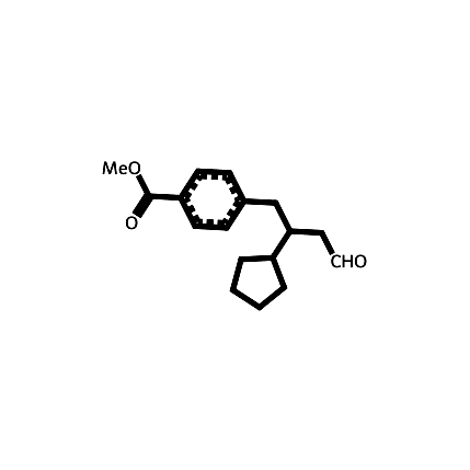 COC(=O)c1ccc(CC(CC=O)C2CCCC2)cc1